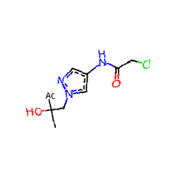 CC(=O)C(C)(O)Cn1cc(NC(=O)CCl)cn1